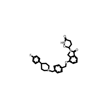 O=C1CCC(N2Cc3c(OCc4ccc(CN5CCC(c6ccc(F)cc6)CC5)cc4)cccc3C2=O)ON1